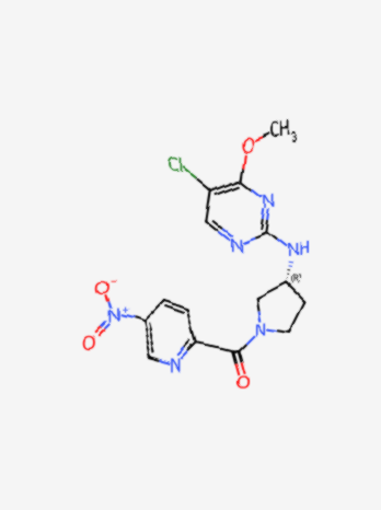 COc1nc(N[C@@H]2CCN(C(=O)c3ccc([N+](=O)[O-])cn3)C2)ncc1Cl